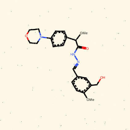 COc1ccc(/C=N/NC(=O)C(OC)c2ccc(N3CCOCC3)cc2)cc1CO